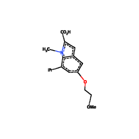 COCCOc1cc(C(C)C)c2c(c1)cc(C(=O)O)n2C